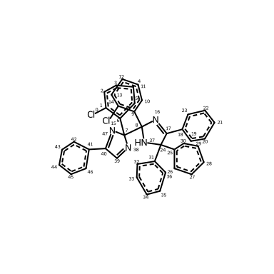 Clc1ccccc1C1(C2(c3ccccc3Cl)N=C(c3ccccc3)C(c3ccccc3)(c3ccccc3)N2)N=CC(c2ccccc2)=N1